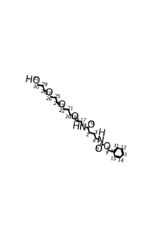 O=C(CCCNC(=O)OCc1ccccc1)NCCOCCCOCCCOCCCO